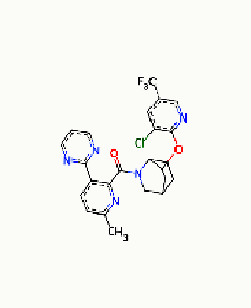 Cc1ccc(-c2ncccn2)c(C(=O)N2CC3CCC2C(Oc2ncc(C(F)(F)F)cc2Cl)C3)n1